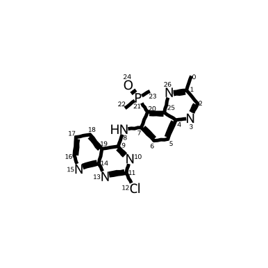 Cc1cnc2ccc(Nc3nc(Cl)nc4ncccc34)c(P(C)(C)=O)c2n1